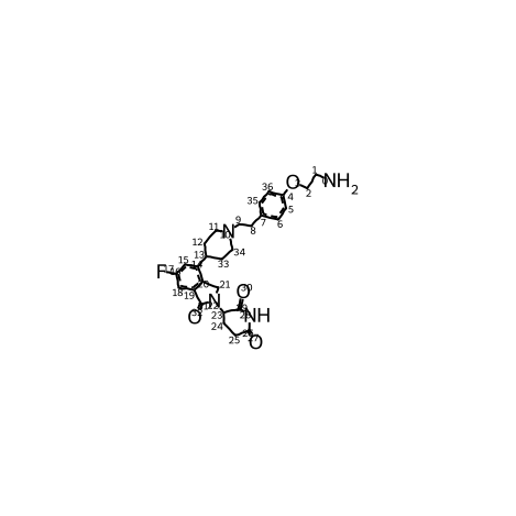 NCCOc1ccc(CCN2CCC(c3cc(F)cc4c3CN(C3CCC(=O)NC3=O)C4=O)CC2)cc1